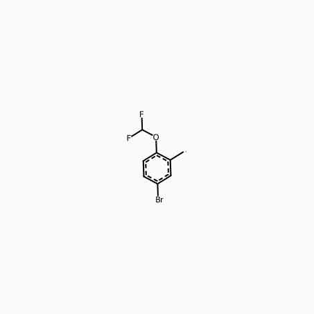 [CH2]c1cc(Br)ccc1OC(F)F